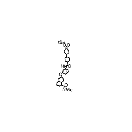 CNC(=O)c1cccc2cc(Oc3ccnc(NC(=O)c4ccc(C5CCN(C(=O)OC(C)(C)C)CC5)cc4)c3)ccc12